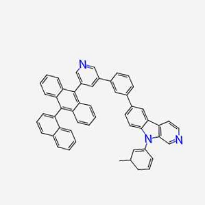 CC1C=C(n2c3ccc(-c4cccc(-c5cncc(-c6c7ccccc7c(-c7cccc8ccccc78)c7ccccc67)c5)c4)cc3c3ccncc32)C=CC1